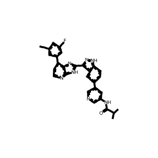 Cc1cc(F)cc(-c2ccnc3[nH]c(-c4n[nH]c5ccc(-c6cncc(NC(=O)C(C)C)c6)cc45)nc23)c1